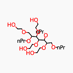 CCCOCC(OCCO)C(OCCC)C(OCCO)C(OCCO)C(COCCO)OCCC